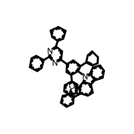 C1=CC(c2cc(-c3cc(-c4ccccc4)nc(-c4ccccc4)n3)cc(-c3ccccc3)c2-n2c3ccccc3c3ccc4c5ccccc5oc4c32)=CCC1